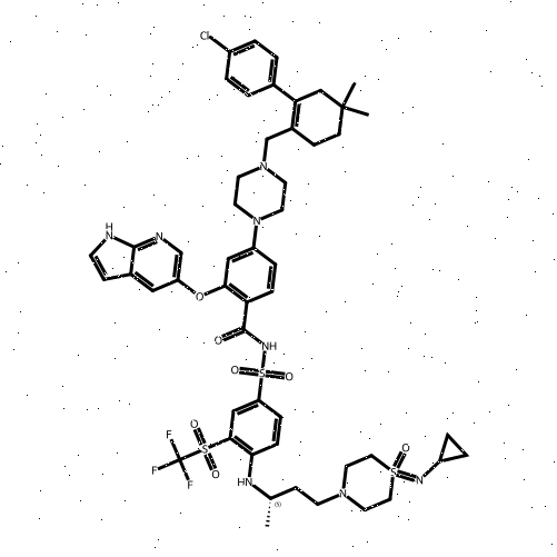 C[C@@H](CCN1CCS(=O)(=NC2CC2)CC1)Nc1ccc(S(=O)(=O)NC(=O)c2ccc(N3CCN(CC4=C(c5ccc(Cl)cc5)CC(C)(C)CC4)CC3)cc2Oc2cnc3[nH]ccc3c2)cc1S(=O)(=O)C(F)(F)F